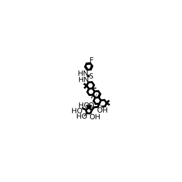 CC1(C)CC[C@]2([C@H](O)[C@H]3OC4(O)C(CO)[C@H](O)C(O)C34)CC[C@]3(C)C(=CCC4[C@@]5(C)CC[C@H](NC(=S)Nc6ccc(F)cc6)C(C)(C)C5CC[C@]43C)C2C1